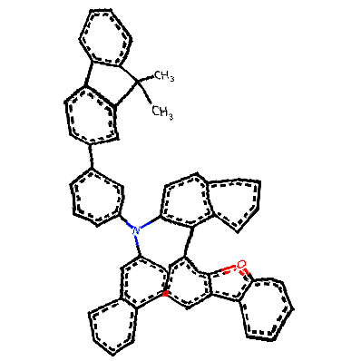 CC1(C)c2ccccc2-c2ccc(-c3cccc(N(c4ccc5ccccc5c4)c4ccc5ccccc5c4-c4cccc5c4oc4ccccc45)c3)cc21